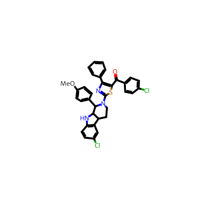 COc1ccc(C2C3Nc4ccc(Cl)cc4C3CCN2c2nc(-c3ccccc3)c(C(=O)c3ccc(Cl)cc3)s2)cc1